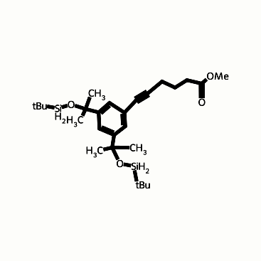 COC(=O)CCCC#Cc1cc(C(C)(C)O[SiH2]C(C)(C)C)cc(C(C)(C)O[SiH2]C(C)(C)C)c1